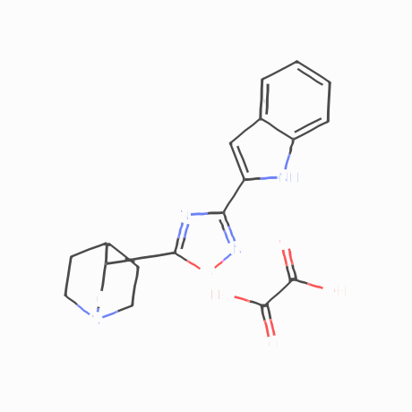 O=C(O)C(=O)O.c1ccc2[nH]c(-c3noc(C4CN5CCC4CC5)n3)cc2c1